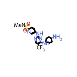 CNS(=O)(=O)c1ccc(Nc2ncc(C(F)(F)F)c(N[C@H]3CC[C@@H](N)CC3)n2)cn1